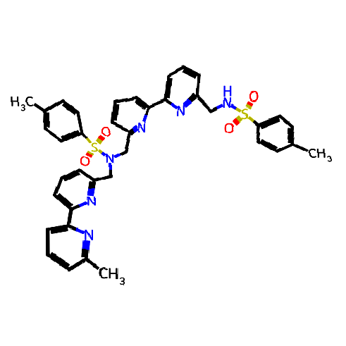 Cc1ccc(S(=O)(=O)NCc2cccc(-c3cccc(CN(Cc4cccc(-c5cccc(C)n5)n4)S(=O)(=O)c4ccc(C)cc4)n3)n2)cc1